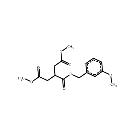 COC(=O)CC(CC(=O)OC)C(=O)OCc1cccc(OC)c1